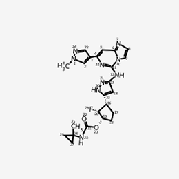 Cn1cc(-c2cc3nccn3c(Nc3cc([C@@H]4CC[C@H](OC(=O)NC5(C)CC5)[C@@H]4F)[nH]n3)n2)cn1